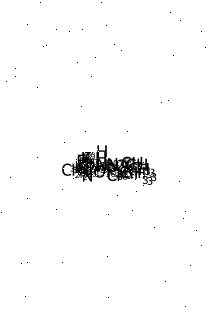 CC(C)(C)[Si](C)(C)OC(c1ncc(NC(=O)N2C[C@@](C)(C(F)(F)F)c3c2cnc2cc(Cl)nn32)cc1Cl)C1CC1